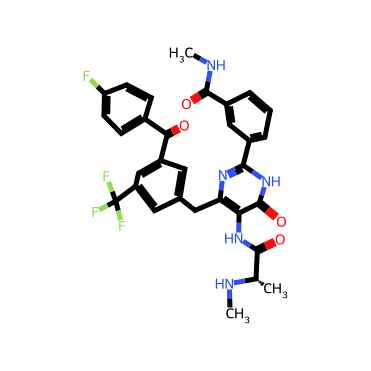 CNC(=O)c1cccc(-c2nc(Cc3cc(C(=O)c4ccc(F)cc4)cc(C(F)(F)F)c3)c(NC(=O)[C@H](C)NC)c(=O)[nH]2)c1